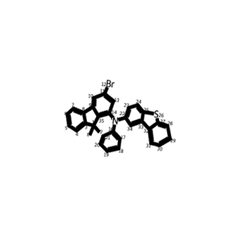 CC1(C)c2ccccc2-c2cc(Br)cc(N(c3ccccc3)c3ccc4sc5ccccc5c4c3)c21